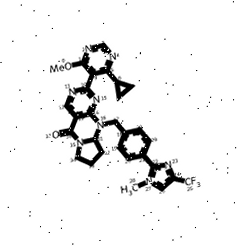 COc1ncnc(C2CC2)c1-c1ncc2c(n1)N(Cc1ccc(-c3nc(C(F)(F)F)cn3C)cc1)C1CCCN1C2=O